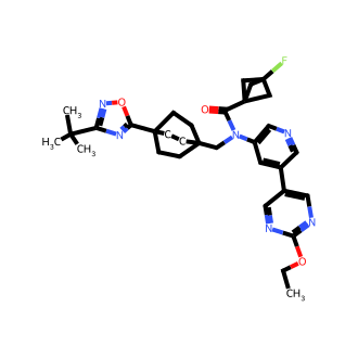 CCOc1ncc(-c2cncc(N(CC34CCC(c5nc(C(C)(C)C)no5)(CC3)CC4)C(=O)C34CC(F)(C3)C4)c2)cn1